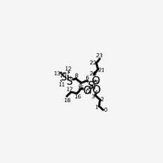 CCCCO[Si](CCCS[Si](C)(C)C)(OCCCC)OCCCC